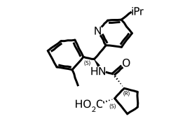 Cc1ccccc1[C@H](NC(=O)[C@@H]1CCC[C@@H]1C(=O)O)c1ccc(C(C)C)cn1